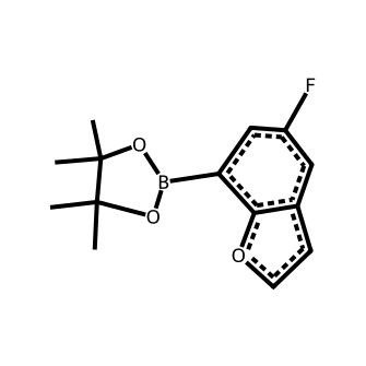 CC1(C)OB(c2cc(F)cc3ccoc23)OC1(C)C